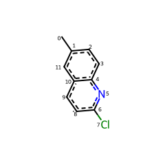 Cc1ccc2nc(Cl)[c]cc2c1